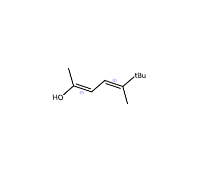 C/C(O)=C\C=C(/C)C(C)(C)C